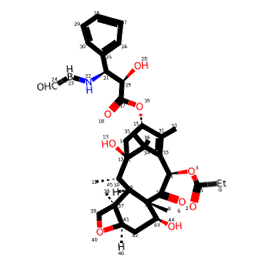 CCC(=O)O[C@H]1C(=O)[C@@]2(C)[C@H]([C@H](C)[C@]3(O)C[C@H](OC(=O)[C@H](O)[C@@H](NBC=O)c4ccccc4)C(C)=C1C3(C)C)[C@]1(C)CO[C@@H]1C[C@@H]2O